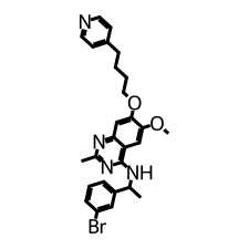 COc1cc2c(NC(C)c3cccc(Br)c3)nc(C)nc2cc1OCCCCc1ccncc1